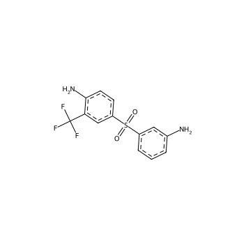 Nc1cccc(S(=O)(=O)c2ccc(N)c(C(F)(F)F)c2)c1